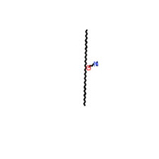 CCCCCC=CCC=CCCCCCCCCC(CCCCCCCCC=CCC=CCCCCC)OCCCN(C)C